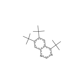 CC(C)(C)c1cc2ncnc(C(C)(C)C)c2cc1C(C)(C)C